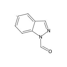 O=Cn1ncc2c[c]ccc21